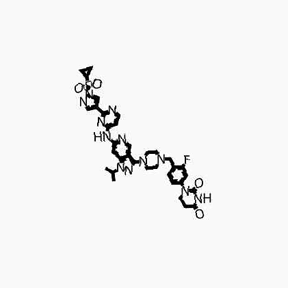 CC(C)n1nc(N2CCN(Cc3ccc(N4CCC(=O)NC4=O)cc3F)CC2)c2cnc(Nc3ccnc(-c4cnn(S(=O)(=O)C5CC5)c4)n3)cc21